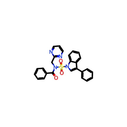 O=C(c1ccccc1)N(Cc1ncccn1)S(=O)(=O)n1cc(-c2ccccc2)c2ccccc21